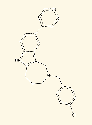 Clc1ccc(CN2CCCc3[nH]c4ccc(-c5ccncc5)cc4c3C2)cc1